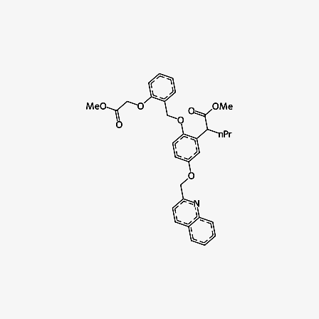 CCCC(C(=O)OC)c1cc(OCc2ccc3ccccc3n2)ccc1OCc1ccccc1OCC(=O)OC